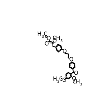 CCOC(=O)[C@H](Cc1ccc(OCCCOc2ccc(C(=O)c3ccc(OC)cc3OC)cc2)cc1)OC